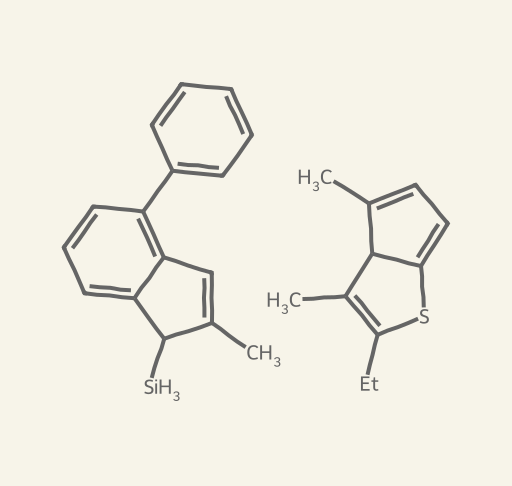 CC1=Cc2c(-c3ccccc3)cccc2C1[SiH3].CCC1=C(C)C2C(C)=CC=C2S1